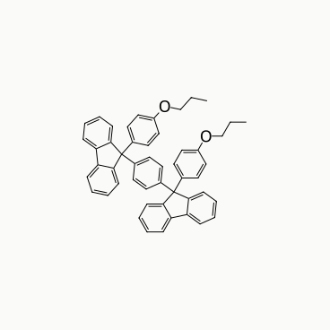 CCCOc1ccc(C2(c3ccc(C4(c5ccc(OCCC)cc5)c5ccccc5-c5ccccc54)cc3)c3ccccc3-c3ccccc32)cc1